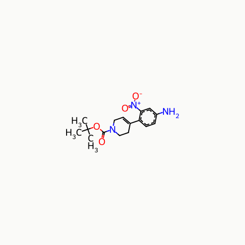 CC(C)(C)OC(=O)N1CC=C(c2ccc(N)cc2[N+](=O)[O-])CC1